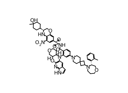 Cc1ccccc1[C@@H]1COCCCN1C1CC2(CCN(c3ccc(C(=O)NS(=O)(=O)c4cc5c(c([N+](=O)[O-])c4)N[C@@H](C4CCC(C)(O)CC4)CO5)c(N4c5cc6cc[nH]c6nc5O[C@H]5COCC[C@@H]54)c3)CC2)C1